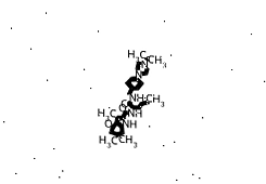 CCCCC(NC(=O)c1[nH]c2c(c1C)C(=O)CC(C)(C)C2)C(=O)NCc1ccc(N2CCN(C(C)C)CC2)cc1